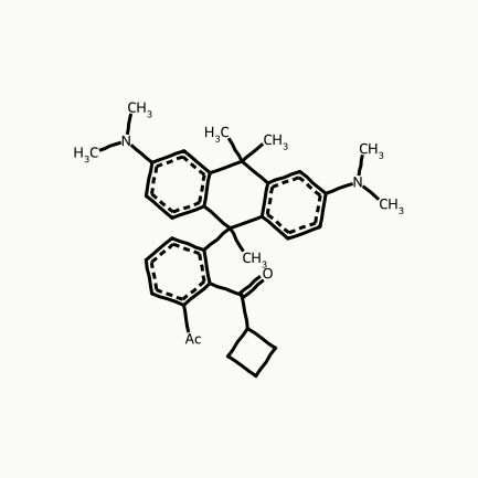 CC(=O)c1cccc(C2(C)c3ccc(N(C)C)cc3C(C)(C)c3cc(N(C)C)ccc32)c1C(=O)C1CCC1